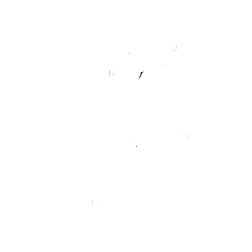 CCCCN1CCc2c([nH]c3ccccc23)[C@@H](C(=O)OC)C[C@H](CO)C1